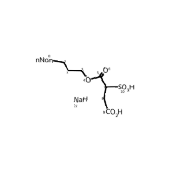 CCCCCCCCCCCCOC(=O)C(CC(=O)O)S(=O)(=O)O.[NaH]